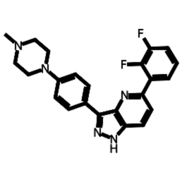 CN1CCN(c2ccc(-c3n[nH]c4ccc(-c5cccc(F)c5F)nc34)cc2)CC1